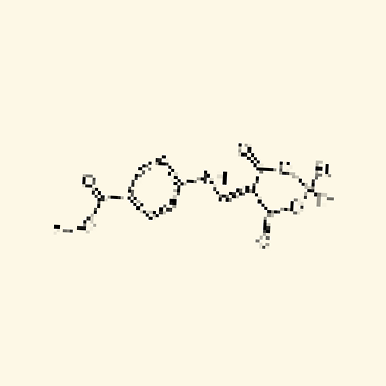 CCC1(CC)OC(=O)C(=CNc2ccc(C(=O)OC(C)C)cc2)C(=O)O1